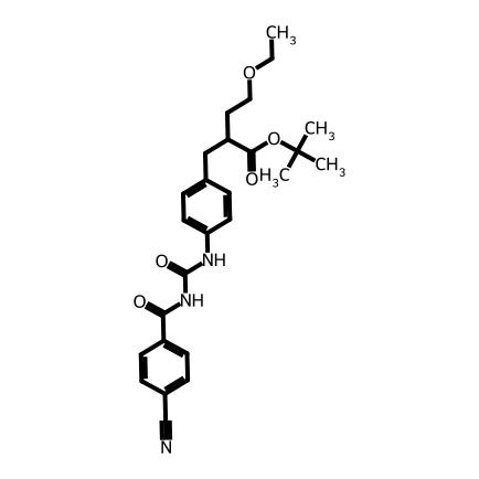 CCOCCC(Cc1ccc(NC(=O)NC(=O)c2ccc(C#N)cc2)cc1)C(=O)OC(C)(C)C